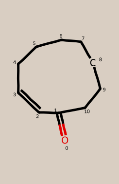 O=C1C=CCCCCCCC1